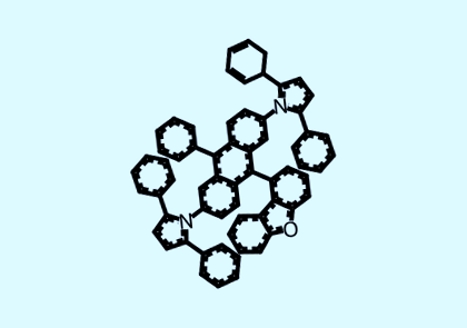 C1=CCC(c2ccc(-c3ccccc3)n2-c2ccc3c(-c4ccccc4)c4cc(-n5c(-c6ccccc6)ccc5-c5ccccc5)ccc4c(-c4cccc5oc6ccccc6c45)c3c2)C=C1